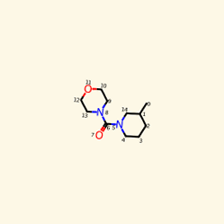 CC1CCCN(C(=O)N2CCOCC2)C1